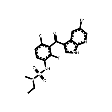 CCN(C)S(=O)(=O)Nc1ccc(Cl)c(C(=O)c2c[nH]c3ncc(Br)cc23)c1F